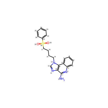 Nc1nc2ccccc2c2c1ncn2CCCCS(=O)(=O)c1ccccc1